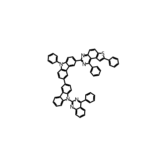 c1ccc(-c2cc3c(ccc4nc(-c5ccc6c(c5)c5cc(-c7ccc8c(c7)c7ccccc7n8-c7nc(-c8ccccc8)c8ccccc8n7)ccc5n6-c5ccccc5)nc(-c5ccccc5)c43)s2)cc1